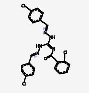 O=C(N=C(N/N=C/c1ccc(Cl)cc1)N/N=C/c1ccc(Cl)cc1)c1ccccc1Cl